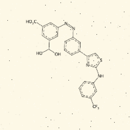 O=C(O)c1cc(/N=N\c2cccc(-c3csc(Nc4cccc(C(F)(F)F)c4)n3)c2)cc(C(O)O)c1